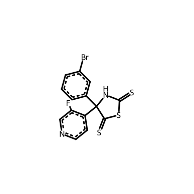 Fc1cnccc1C1(c2cccc(Br)c2)NC(=S)SC1=S